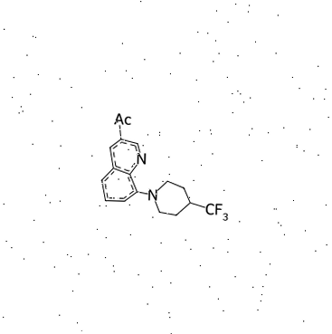 CC(=O)c1cnc2c(N3CCC(C(F)(F)F)CC3)cccc2c1